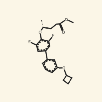 COC(=O)CC[C@@H](C)Oc1c(F)cc(-c2cccc(OC3CCC3)c2)cc1F